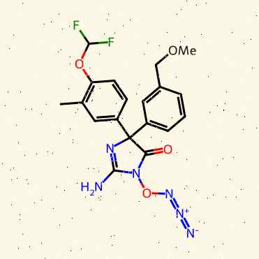 COCc1cccc(C2(c3ccc(OC(F)F)c(C)c3)N=C(N)N(ON=[N+]=[N-])C2=O)c1